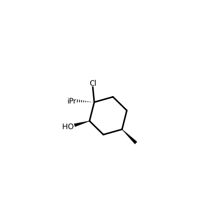 CC(C)[C@]1(Cl)CC[C@@H](C)C[C@H]1O